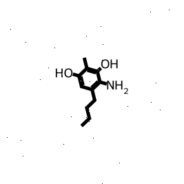 CCCCc1cc(O)c(C)c(O)c1N